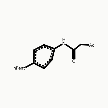 CCCCCc1ccc(NC(=O)CC(C)=O)cc1